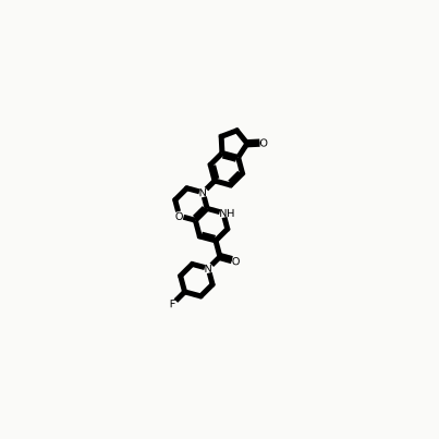 O=C1CCc2cc(N3CCOC4=C3NCC(C(=O)N3CCC(F)CC3)=C4)ccc21